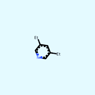 CCc1[c]ncc(CC)c1